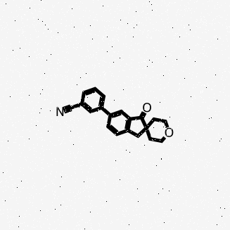 N#Cc1cccc(-c2ccc3c(c2)C(=O)C2(CCOCC2)C3)c1